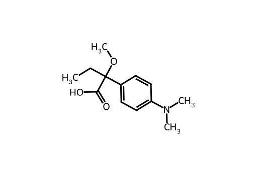 CCC(OC)(C(=O)O)c1ccc(N(C)C)cc1